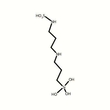 O=S(=O)(O)NCCCNCCC[Si](O)(O)O